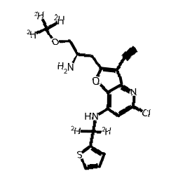 [2H]C([2H])([2H])OC[C@H](N)Cc1oc2c(NC([2H])([2H])c3cccs3)cc(Cl)nc2c1C#C